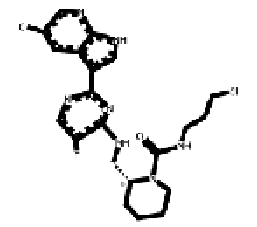 O=C(NCCCCl)N1CCCC[C@@H]1CNc1nc(-c2c[nH]c3ncc(Cl)cc23)ncc1F